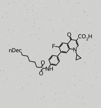 CCCCCCCCCCCCCCCS(=O)(=O)Nc1ccc(-c2cc3c(cc2F)c(=O)c(C(=O)O)cn3C2CC2)cc1